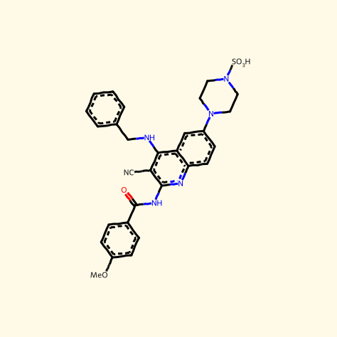 COc1ccc(C(=O)Nc2nc3ccc(N4CCN(S(=O)(=O)O)CC4)cc3c(NCc3ccccc3)c2C#N)cc1